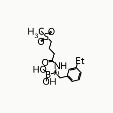 CCc1cccc(C[C@H](NC(=O)CCCS(C)(=O)=O)B(O)O)c1